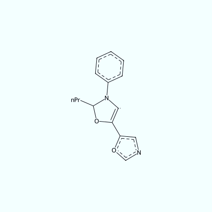 CCCC1OC(c2cnco2)=[C]N1c1ccccc1